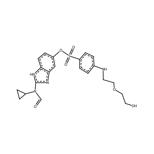 O=CN(c1nc2cc(OS(=O)(=O)c3ccc(NCCOCCO)cc3)ccc2[nH]1)C1CC1